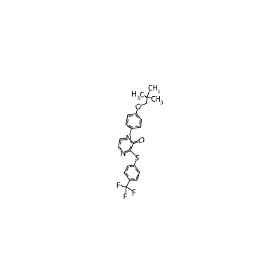 CC(C)(C)COc1ccc(-n2ccnc(Sc3ccc(C(F)(F)F)cc3)c2=O)cc1